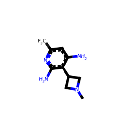 CN1CC(c2c(N)cc(C(F)(F)F)nc2N)C1